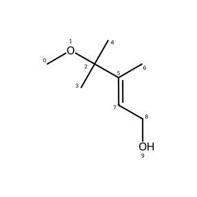 COC(C)(C)/C(C)=C/CO